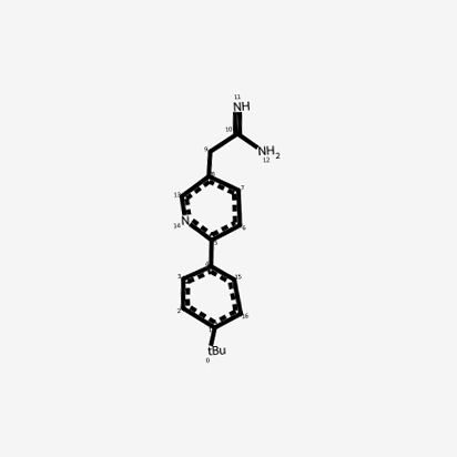 CC(C)(C)c1ccc(-c2ccc(CC(=N)N)cn2)cc1